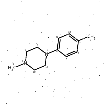 Cc1c[c]c(N2CCN(C)CC2)cc1